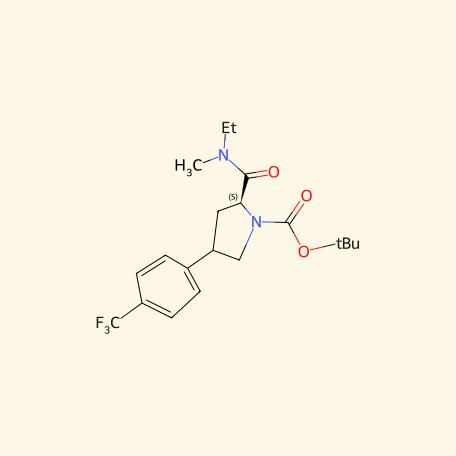 CCN(C)C(=O)[C@@H]1CC(c2ccc(C(F)(F)F)cc2)CN1C(=O)OC(C)(C)C